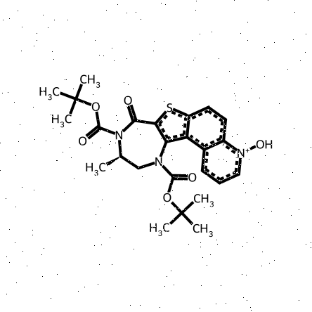 C[C@@H]1CN(C(=O)OC(C)(C)C)c2c(sc3ccc4c(ccc[n+]4O)c23)C(=O)N1C(=O)OC(C)(C)C